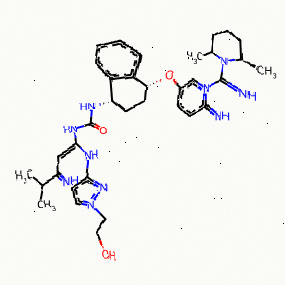 CC(C)C(=N)/C=C(/NC(=O)N[C@H]1CC[C@@H](Oc2ccc(=N)n(C(=N)N3C(C)CCC[C@H]3C)c2)c2ccccc21)Nc1ccn(CCO)n1